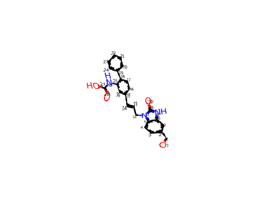 O=Cc1ccc2c(c1)[nH]c(=O)n2C/C=C/c1ccc(-c2ccccc2)c(NC(=O)O)c1